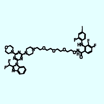 O=C(NOCCOCCOCCOCCN1CCN(c2nc(N3CCOCC3)nc(-n3c(C(F)F)nc4ccccc43)n2)CC1)c1ccc(F)c(F)c1Nc1ccc(I)cc1F